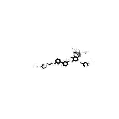 Cc1c(COc2cc(OCc3cncc(C#N)c3)c(CN(C)C(C)(CO)C(=O)O)c(C)c2Cl)cccc1-c1cccc(OCCCN2CCC(O)C2)c1C